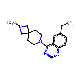 O=C(O)N1CC2(CCN(c3ncnc4ccc(CC(F)(F)F)cc34)CC2)C1